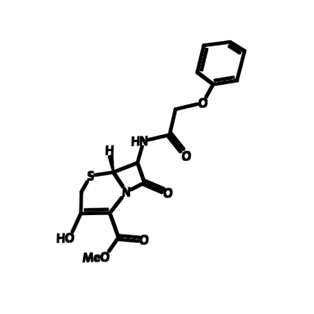 COC(=O)C1=C(O)CS[C@@H]2C(NC(=O)COc3ccccc3)C(=O)N12